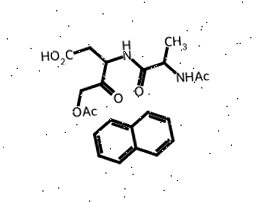 CC(=O)NC(C)C(=O)NC(CC(=O)O)C(=O)COC(C)=O.c1ccc2ccccc2c1